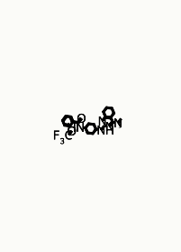 CN(C)c1nc(NC2CCC(NC(=O)c3ccccc3OC(F)(F)F)CC2)nc2c1CCCC2